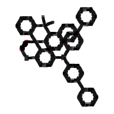 CC1(C)c2ccccc2C2(c3ccccc3Sc3ccc(N(c4ccc(-c5ccccc5)cc4)c4ccc(-c5ccccc5)cc4)cc32)c2ccc3ccccc3c21